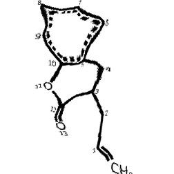 C=CCC1Cc2ccccc2OC1=O